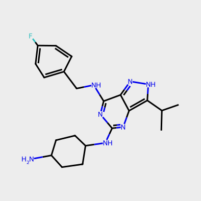 CC(C)c1[nH]nc2c(NCc3ccc(F)cc3)nc(NC3CCC(N)CC3)nc12